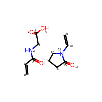 C=CC(=O)NCC(=O)O.C=CN1CCCC1=O